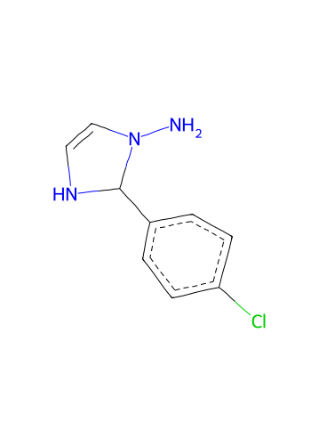 NN1C=CNC1c1ccc(Cl)cc1